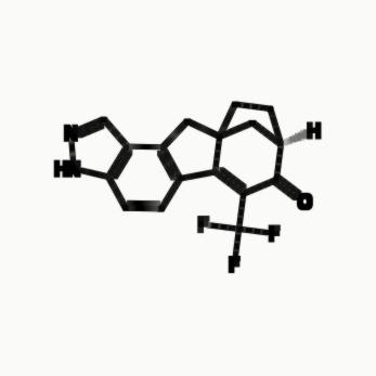 O=C1C(C(F)(F)F)=C2c3ccc4[nH]ncc4c3CC23CC[C@@H]1C3